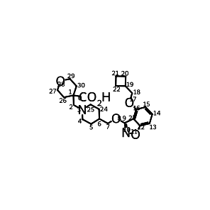 O=C(O)C1(CN2CCC(COc3noc4cccc(OCC5CCC5)c34)CC2)CCOCC1